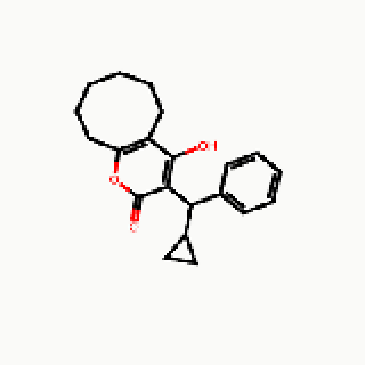 O=c1oc2c(c(O)c1C(c1ccccc1)C1CC1)CCCCCC2